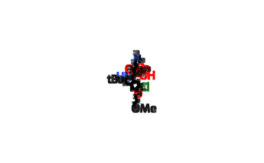 COCCCOc1cc2c(cc1Cl)C(CC(=O)C(=CN(C)C)OP(=O)(O)O)NC(C(C)(C)C)C2